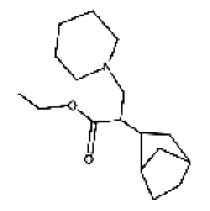 CCOC(=O)C(CN1CCCCC1)C1CC2CCC1C2